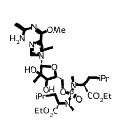 C=C(N)/N=C(/OC)c1ncn([C@@H]2O[C@H](COP(=O)(N(C)[C@@H](CC(C)C)C(=O)OCC)N(C)[C@@H](CC(C)C)C(=O)OCC)C(O)C2(C)O)c1C